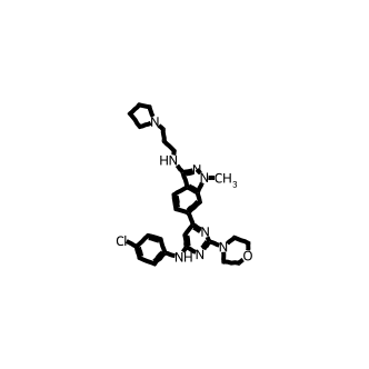 Cn1nc(NCCCN2CCCC2)c2ccc(-c3cc(Nc4ccc(Cl)cc4)nc(N4CCOCC4)n3)cc21